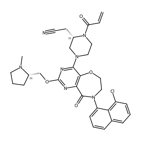 C=CC(=O)N1CCN(c2nc(OC[C@@H]3CCCN3C)nc3c2OCCN(c2cccc4cccc(Cl)c24)C3=O)C[C@@H]1CC#N